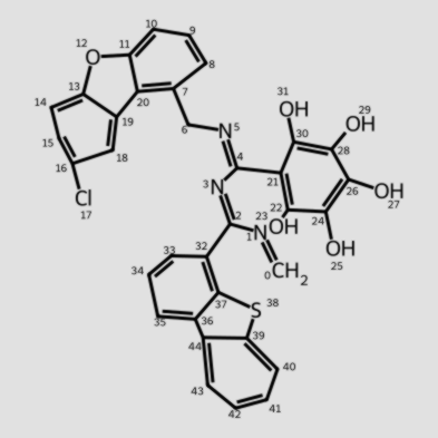 C=N/C(=N\C(=N/Cc1cccc2oc3ccc(Cl)cc3c12)c1c(O)c(O)c(O)c(O)c1O)c1cccc2c1sc1ccccc12